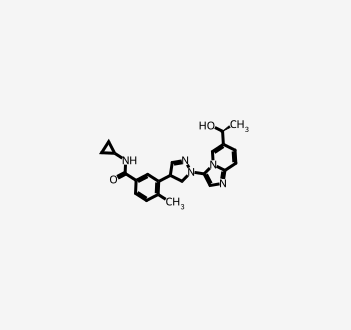 Cc1ccc(C(=O)NC2CC2)cc1C1C=NN(c2cnc3ccc([C@H](C)O)cn23)C1